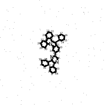 c1ccc(-c2ncc(-c3ccc4c(-c5ccccc5)c5c6ccccc6c6ccccc6n5c4c3)nc2-c2ccccc2)cc1